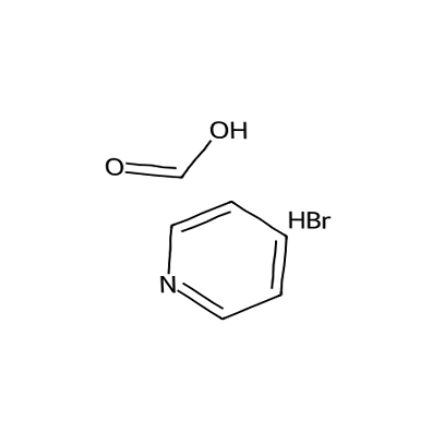 Br.O=CO.c1ccncc1